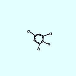 [N]c1c(Cl)cc(Cl)cc1Cl